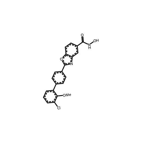 COc1c(Cl)cccc1-c1ccc(-c2nc3cc(C(=O)NO)ccc3o2)cc1